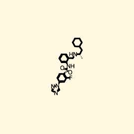 C[C@@H](CC1CCCCC1)NCc1ccccc1NS(=O)(=O)c1ccc(-n2cncn2)cc1F